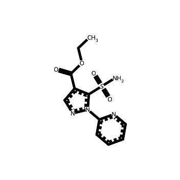 CCOC(=O)c1cnn(-c2ccccn2)c1S(N)(=O)=O